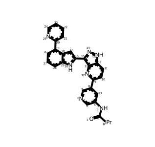 CC(C)C(=O)Nc1cncc(-c2ccc3[nH]nc(-c4cc5c(-c6ccccn6)cccc5[nH]4)c3n2)c1